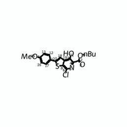 CCCCOC(=O)c1nc(Cl)c2sc(-c3ccc(OC)cc3)cc2c1O